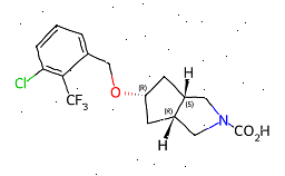 O=C(O)N1C[C@H]2C[C@@H](OCc3cccc(Cl)c3C(F)(F)F)C[C@H]2C1